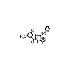 CC(=NOc1ccccc1)n1ncnc1C(C)NC(=O)c1cc(Cl)cc(C(F)(F)F)c1